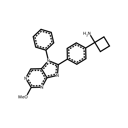 COc1ncc2c(n1)nc(-c1ccc(C3(N)CCC3)cc1)n2-c1ccccc1